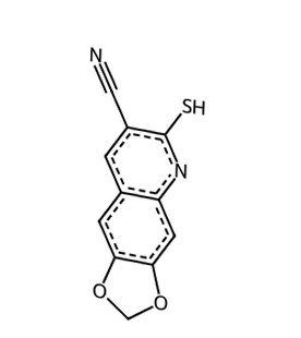 N#Cc1cc2cc3c(cc2nc1S)OCO3